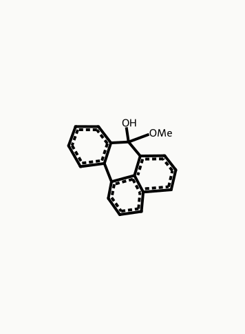 COC1(O)c2ccccc2-c2cccc3cccc1c23